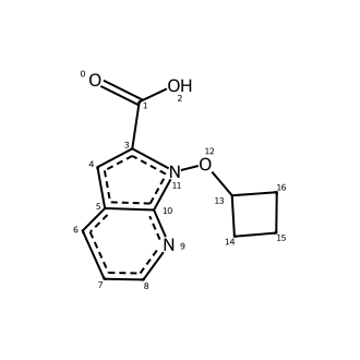 O=C(O)c1cc2cccnc2n1OC1CCC1